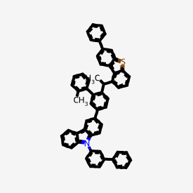 Cc1ccccc1-c1cc(-c2ccc3c(c2)c2ccccc2n3-c2cccc(-c3ccccc3)c2)ccc1C(C)c1cccc2sc3cc(-c4ccccc4)ccc3c12